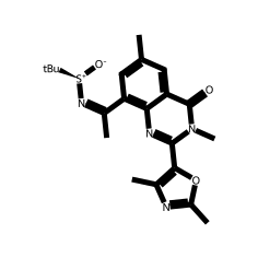 C/C(=N/[S@+]([O-])C(C)(C)C)c1cc(C)cc2c(=O)n(C)c(-c3oc(C)nc3C)nc12